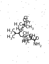 C=C(C)C(=O)C[N+](C)(C)CCC.C=C(C)C(N)=O.CCC[N+](C)(C)C.[Cl-].[Cl-]